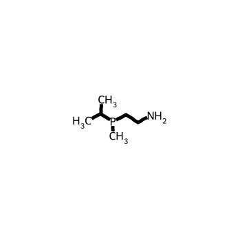 CC(C)P(C)CCN